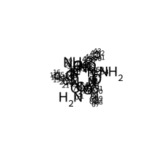 NCCCN1CC(=O)N(Cc2ccc(-c3ccccc3)cc2)CC(=O)N(CCCN)CC(=O)N(Cc2ccc(-c3ccccc3)cc2)CC(=O)N(CCCN)CC(=O)N(Cc2ccc(-c3ccccc3)cc2)CC1=O